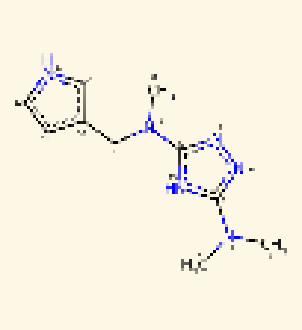 CN(C)c1nnc(N(C)Cc2cc[nH]c2)[nH]1